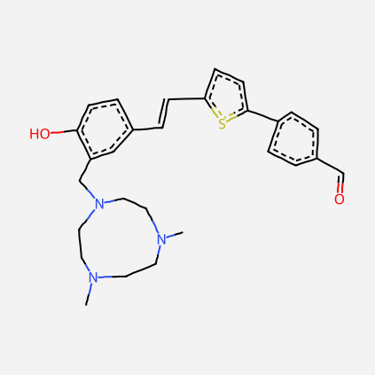 CN1CCN(C)CCN(Cc2cc(/C=C/c3ccc(-c4ccc(C=O)cc4)s3)ccc2O)CC1